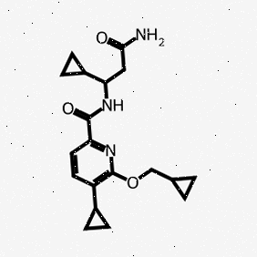 NC(=O)CC(NC(=O)c1ccc(C2CC2)c(OCC2CC2)n1)C1CC1